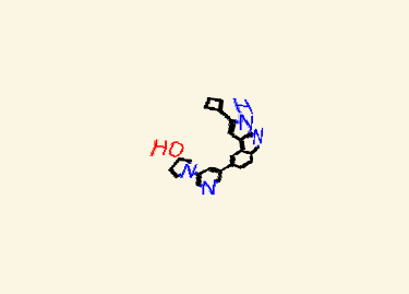 O[C@@H]1CCN(c2cncc(-c3ccc4cnc5[nH]c(C6CCC6)cc5c4c3)c2)C1